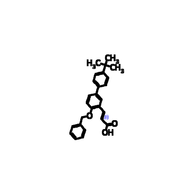 CC(C)(C)c1ccc(-c2ccc(OCc3ccccc3)c(/C=C/C(=O)O)c2)cc1